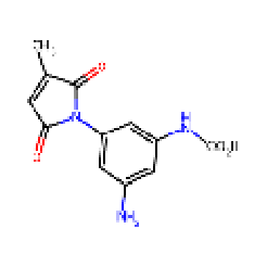 CC1=CC(=O)N(c2cc(N)cc(NC(=O)O)c2)C1=O